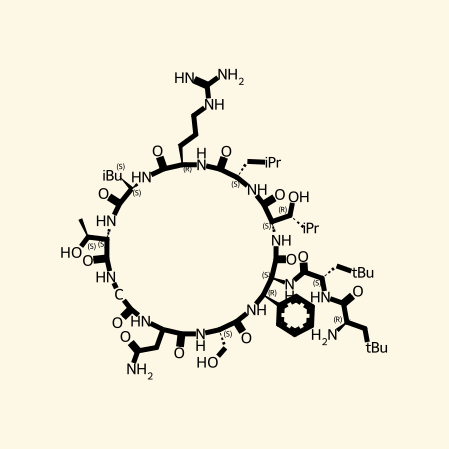 CC[C@H](C)[C@@H]1NC(=O)[C@@H](CCCNC(=N)N)NC(=O)[C@H](CC(C)C)NC(=O)[C@H]([C@H](O)C(C)C)NC(=O)[C@@H](NC(=O)[C@H](CC(C)(C)C)NC(=O)[C@H](N)CC(C)(C)C)[C@@H](c2ccccc2)NC(=O)[C@H](CO)NC(=O)C(CC(N)=O)NC(=O)CNC(=O)[C@H]([C@H](C)O)NC1=O